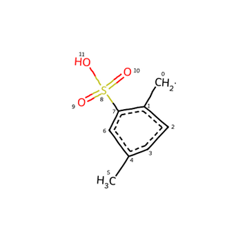 [CH2]c1ccc(C)cc1S(=O)(=O)O